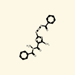 Cc1nc(N=[N+]=NC(=O)c2ccccc2)sc1C(=O)N(N)C(=O)c1ccccc1